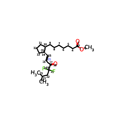 COC(=O)CCCCCCC1CCC[C@@H]1/C=C/C(=O)C(F)(F)CC(C)C